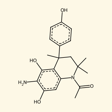 CC(=O)N1c2cc(O)c(N)c(O)c2C(C)(c2ccc(O)cc2)CC1(C)C